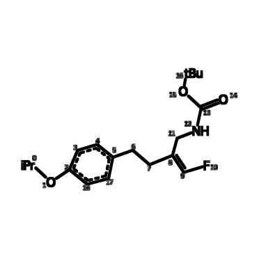 CC(C)Oc1ccc(CCC(=CF)CNC(=O)OC(C)(C)C)cc1